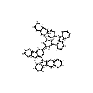 c1ccc(-n2c3ccccc3c3cccc(-c4nc(-c5ccc6ccccc6c5)nc(-c5cc(-n6c7ccccc7c7cc8ccccc8cc76)c6oc7ccccc7c6c5)n4)c32)cc1